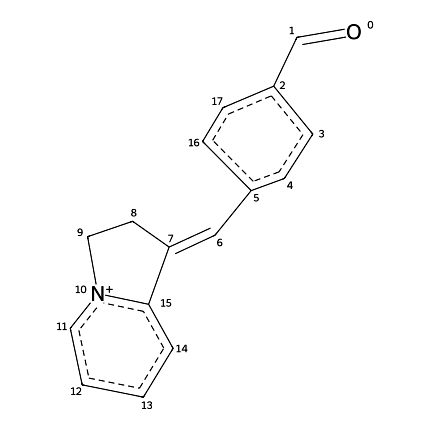 O=Cc1ccc(/C=C2\CC[n+]3ccccc32)cc1